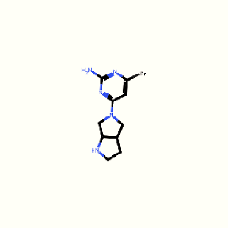 CC(C)c1cc(N2CC3CCNC3C2)nc(N)n1